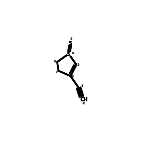 C#CC1=CS(=S)CC1